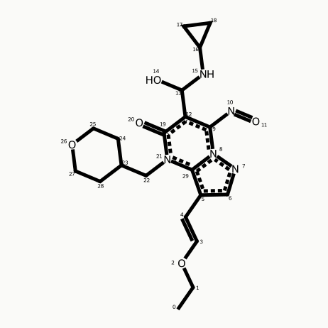 CCO/C=C/c1cnn2c(N=O)c(C(O)NC3CC3)c(=O)n(CC3CCOCC3)c12